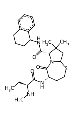 CC[C@H](NC)C(=O)N[C@H]1CCSC2CC(C)(C)[C@@H](C(=O)NC3CCCc4ccccc43)N2C1=O